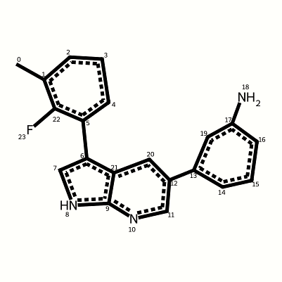 Cc1cccc(-c2c[nH]c3ncc(-c4cccc(N)c4)cc23)c1F